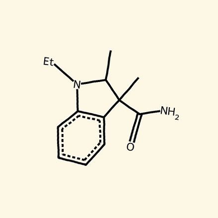 CCN1c2ccccc2C(C)(C(N)=O)C1C